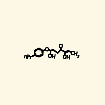 CC=C(O)C(=O)CCC(O)Oc1ccc(CCC)cc1